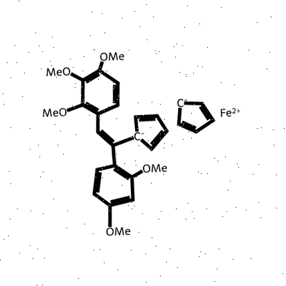 COc1ccc(/C(=C/c2ccc(OC)c(OC)c2OC)[c-]2cccc2)c(OC)c1.[Fe+2].c1cc[cH-]c1